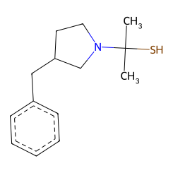 CC(C)(S)N1CCC(Cc2ccccc2)C1